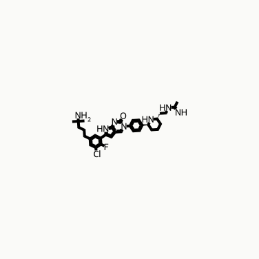 CC(=N)NCC[C@@H]1CCC[C@@H](c2ccc(-n3cc4cc(-c5cc(CCCC(C)(C)N)cc(Cl)c5F)[nH]c4nc3=O)cc2)N1